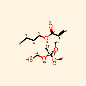 C=CC(=O)OCCCC.CO[Si](C)(OC)OCS